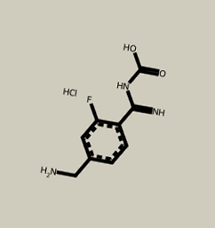 Cl.N=C(NC(=O)O)c1ccc(CN)cc1F